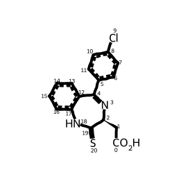 O=C(O)C[C@@H]1N=C(c2ccc(Cl)cc2)c2ccccc2NC1=S